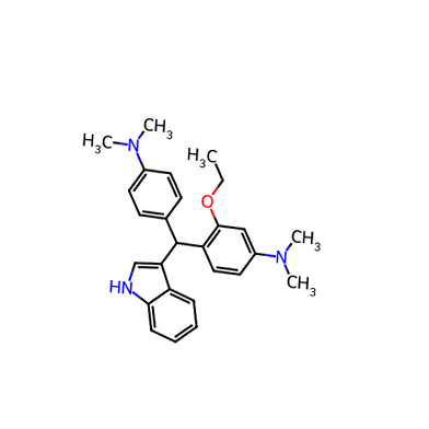 CCOc1cc(N(C)C)ccc1C(c1ccc(N(C)C)cc1)c1c[nH]c2ccccc12